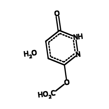 O.O=C(O)Oc1ccc(=O)[nH]n1